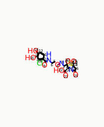 C[C@]1(/C=N/OCCNC(=O)c2ccc(O)c(O)c2Cl)[C@H](C(=O)O)N2C(=O)C[C@H]2S1(=O)=O